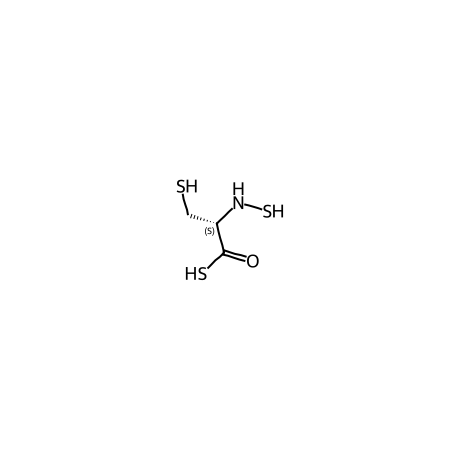 O=C(S)[C@H](CS)NS